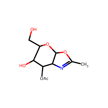 CC(=O)OC1C(O)C(CO)OC2OC(C)=NC21